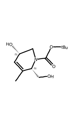 CC1=C[C@H](O)CN(C(=O)OC(C)(C)C)[C@@H]1CO